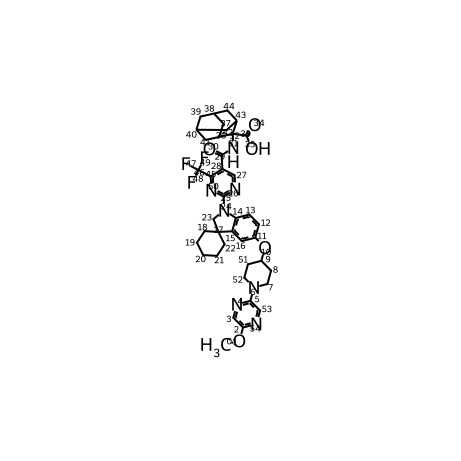 COc1cnc(N2CCC(Oc3ccc4c(c3)C3(CCCCC3)CN4c3ncc(C(=O)NC4(C(=O)O)C5CC6CC(C5)CC4C6)c(C(F)(F)F)n3)CC2)cn1